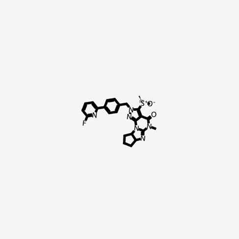 CN1C(=O)c2c(nn(Cc3ccc(-c4cccc(F)n4)cc3)c2[S@+](C)[O-])N2C1=NC1CCCC12